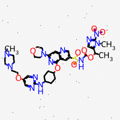 CC(OC(=O)NS(=O)(=O)c1cnc2cc(N3CCOCC3)nc(OC3CCC(Nc4ncc(OCCN5CCN(C)CC5)cn4)CC3)c2c1)c1cnc([N+](=O)[O-])n1C